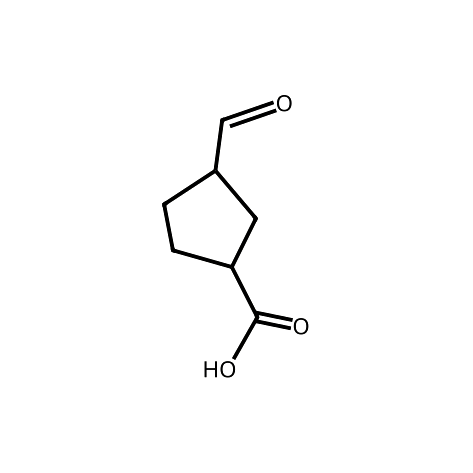 O=CC1CCC(C(=O)O)C1